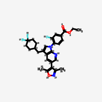 CCOC(=O)c1ccc(-n2cc(CC3CCC(F)(F)CC3)c3cc(-c4c(C)noc4C)cnc32)c(F)c1